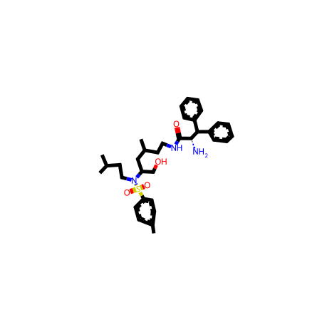 Cc1ccc(S(=O)(=O)N(CCC(C)C)C(CO)CC(C)CCNC(=O)[C@@H](N)C(c2ccccc2)c2ccccc2)cc1